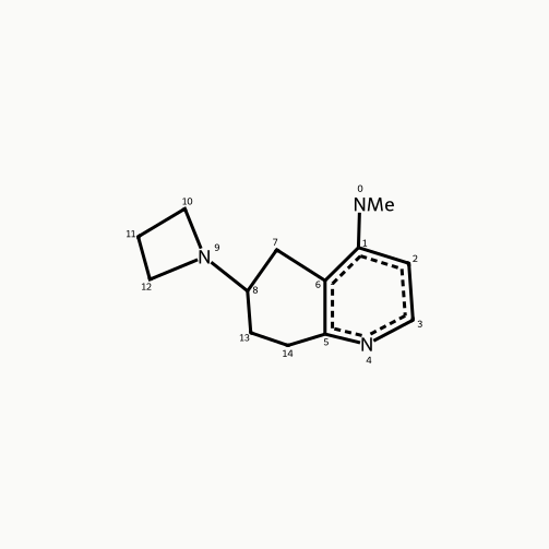 CNc1ccnc2c1CC(N1CCC1)CC2